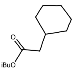 CC(C)[CH]OC(=O)CC1CCCCC1